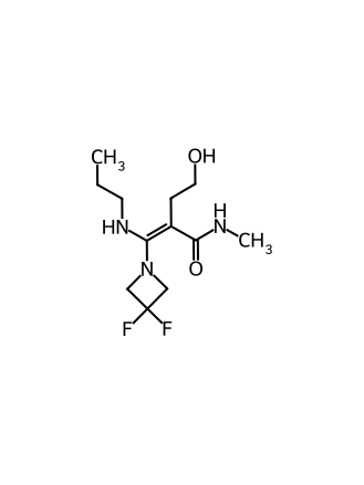 CCCN/C(=C(\CCO)C(=O)NC)N1CC(F)(F)C1